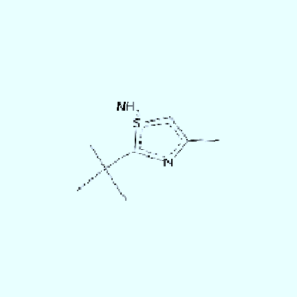 Cc1csc(C(C)(C)C)n1.N